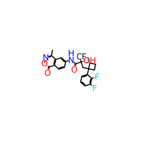 Cc1noc(=O)c2ccc(NC(=O)C(O)(CC3(c4cccc(F)c4F)CCC3)C(F)(F)F)cc12